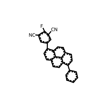 N#Cc1cc(-c2ccc3ccc4c(-c5ccccc5)ccc5ccc2c3c54)cc(C#N)c1F